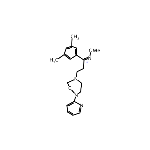 CO/N=C(/CCN1CCN(c2ccccn2)CC1)c1cc(C)cc(C)c1